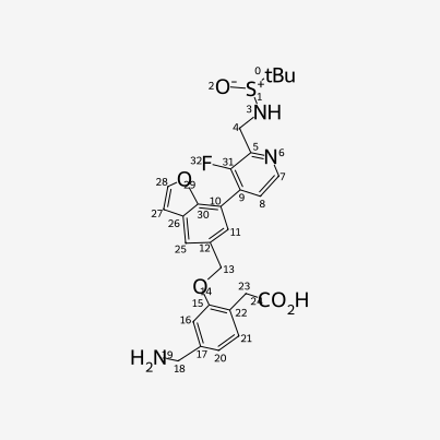 CC(C)(C)[S+]([O-])NCc1nccc(-c2cc(COc3cc(CN)ccc3CC(=O)O)cc3ccoc23)c1F